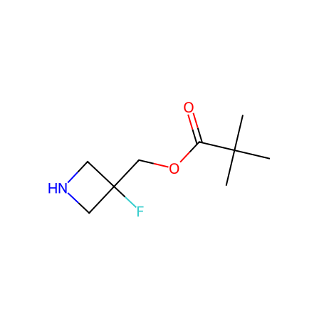 CC(C)(C)C(=O)OCC1(F)CNC1